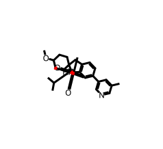 COC1CCC2(CC1)Cc1ccc(-c3cncc(C)c3)cc1C21NC(=O)N(C(C)C)C1=O